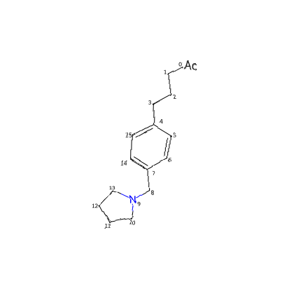 CC(=O)CCCc1ccc(CN2CCCC2)cc1